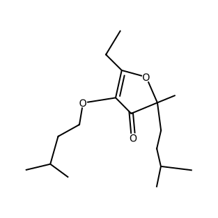 CCC1=C(OCCC(C)C)C(=O)C(C)(CCC(C)C)O1